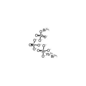 [Bi+3].[Bi+3].[O]=[Sb]([O-])([O-])[O-].[O]=[Sb]([O-])([O-])[O-].[O]=[Sb]([O-])([O-])[O-].[Yb+3]